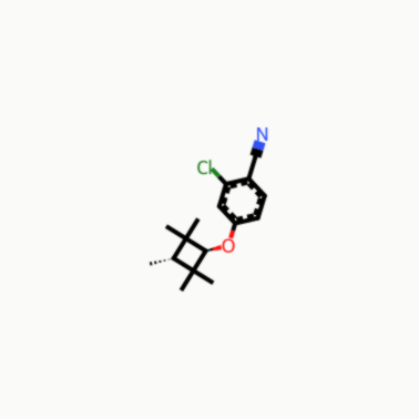 CC1(C)[C@H](C)C(C)(C)[C@H]1Oc1ccc(C#N)c(Cl)c1